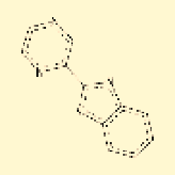 c1ccc2sc(-c3cnccn3)nc2c1